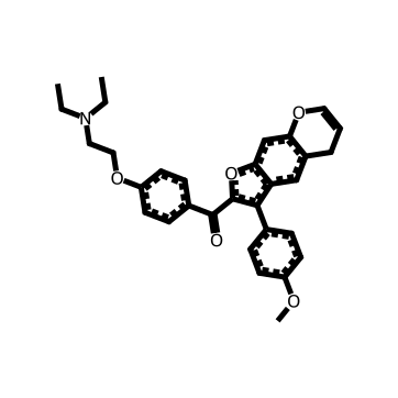 CCN(CC)CCOc1ccc(C(=O)c2oc3cc4c(cc3c2-c2ccc(OC)cc2)CC=CO4)cc1